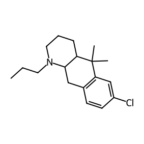 CCCN1CCCC2C1Cc1ccc(Cl)cc1C2(C)C